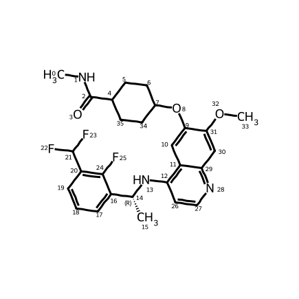 CNC(=O)C1CCC(Oc2cc3c(N[C@H](C)c4cccc(C(F)F)c4F)ccnc3cc2OC)CC1